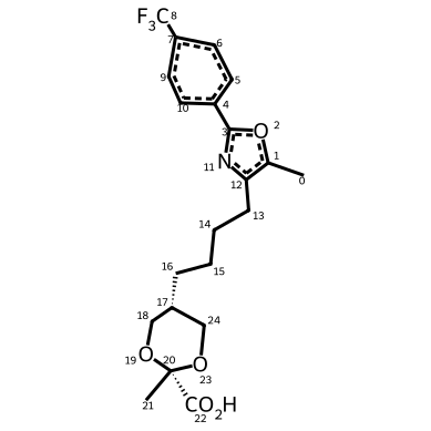 Cc1oc(-c2ccc(C(F)(F)F)cc2)nc1CCCC[C@H]1CO[C@@](C)(C(=O)O)OC1